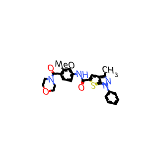 COc1cc(NC(=O)c2cc3c(C)nn(-c4ccccc4)c3s2)ccc1C(=O)N1CCOCC1